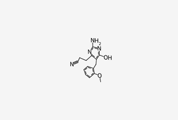 COc1ccccc1Cc1c(O)nc(N)nc1CCC#N